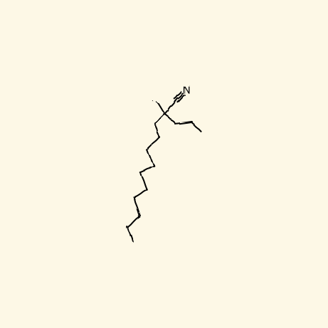 [CH2]C(C#N)(CCC)CCCCCCCCCC